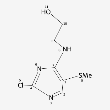 CSc1cnc(Cl)nc1NCCO